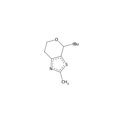 Cc1nc2c(s1)C(C(C)(C)C)OCC2